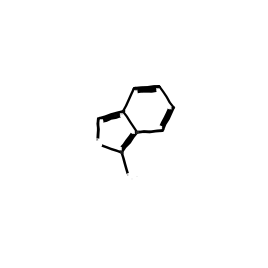 CCCC1=c2ccccc2=C[P]1